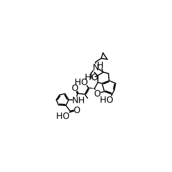 C/C(C(=O)Nc1ccccc1C(=O)O)=C(/O)[C@@H]1Oc2c(O)ccc3c2[C@@]12CCN(CC1CC1)[C@H](C3)[C@@]2(C)O